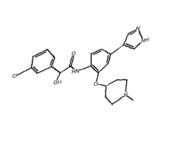 CN1CCC(Oc2cc(-c3cn[nH]c3)ccc2NC(=O)C(O)c2cccc(Cl)c2)CC1